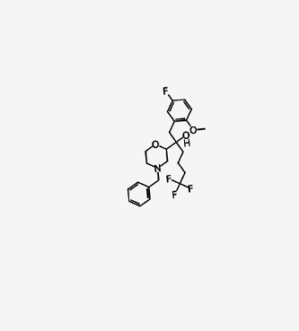 COc1ccc(F)cc1CC(O)(CCCC(F)(F)F)C1CN(Cc2ccccc2)CCO1